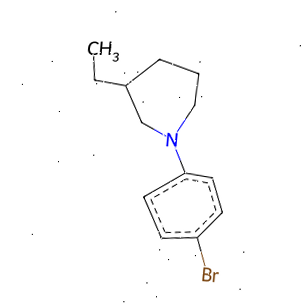 CCC1CCCN(c2ccc(Br)cc2)C1